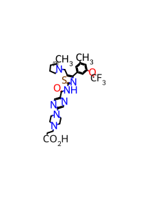 Cc1cc(OC(F)(F)F)cc(-c2nc(NC(=O)c3cnc(N4CCN(CCC(=O)O)CC4)cn3)sc2CN2CCC[C@H]2C)c1